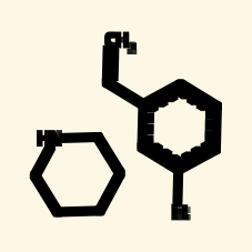 C1CCNCC1.C=Cc1cccc(CC)c1